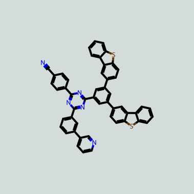 N#Cc1ccc(-c2nc(-c3cccc(-c4cccnc4)c3)nc(-c3cc(-c4ccc5sc6ccccc6c5c4)cc(-c4ccc5sc6ccccc6c5c4)c3)n2)cc1